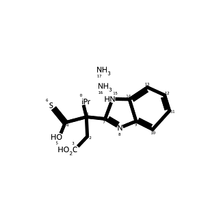 CC(C)C(CC(=O)O)(C(O)=S)c1nc2ccccc2[nH]1.N.N